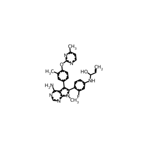 C=CC(O)Nc1ccc(-c2c(-c3ccc(Oc4nccc(C)n4)c(C)c3)c3c(N)ncnc3n2C)c(F)c1